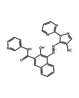 [C-]#[N+]c1cnn(-c2ncccn2)c1/N=N/c1c(O)c(C(=O)Nc2cccnc2)cc2ccccc12